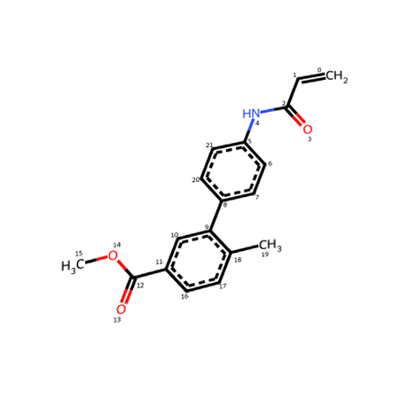 C=CC(=O)Nc1ccc(-c2cc(C(=O)OC)ccc2C)cc1